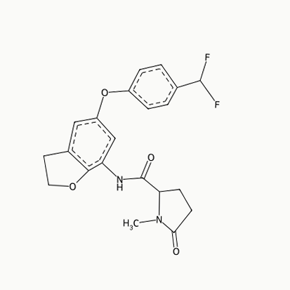 CN1C(=O)CCC1C(=O)Nc1cc(Oc2ccc(C(F)F)cc2)cc2c1OCC2